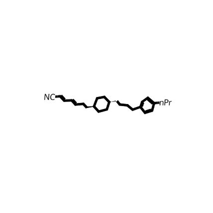 CCCc1ccc(CCCC[C@H]2CC[C@H](CCC=CC=CC#N)CC2)cc1